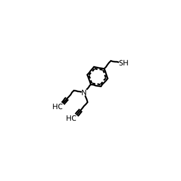 C#CCN(CC#C)c1ccc(CS)cc1